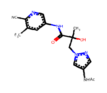 CC(=O)Nc1cnn(CC(C)(O)C(=O)Nc2cnc(C#N)c(C(F)(F)F)c2)c1